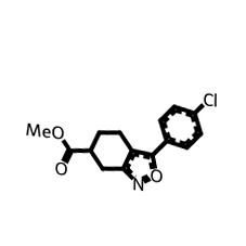 COC(=O)C1CCc2c(noc2-c2ccc(Cl)cc2)C1